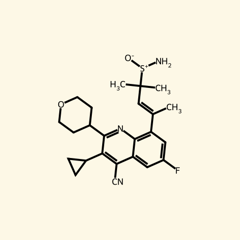 CC(=CC(C)(C)[S+](N)[O-])c1cc(F)cc2c(C#N)c(C3CC3)c(C3CCOCC3)nc12